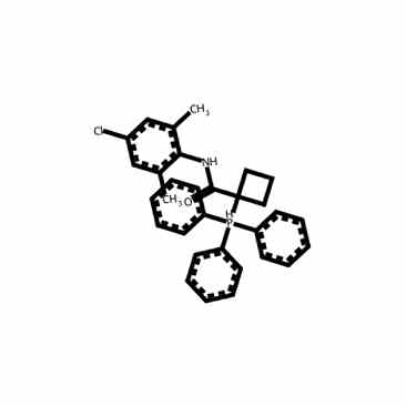 Cc1cc(Cl)cc(C)c1NC(=O)C1([PH](c2ccccc2)(c2ccccc2)c2ccccc2)CCC1